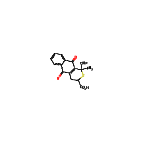 COC1(C)SC(C(=O)O)CC2=C1C(=O)c1ccccc1C2=O